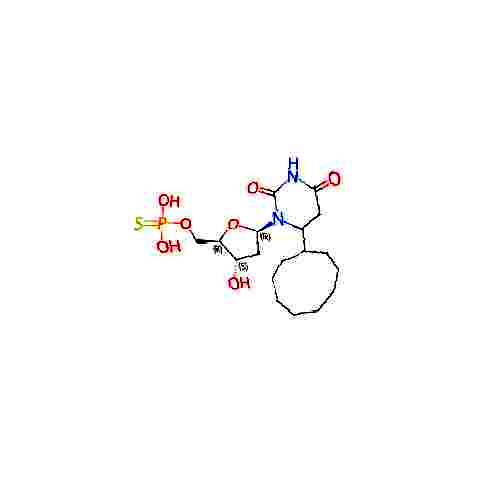 O=C1CC(C2CCCCCCCC2)N([C@H]2C[C@H](O)[C@@H](COP(O)(O)=S)O2)C(=O)N1